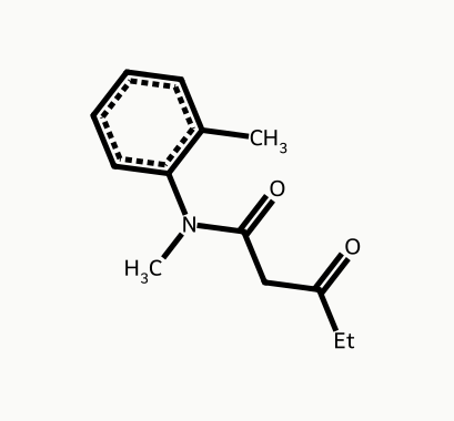 CCC(=O)CC(=O)N(C)c1ccccc1C